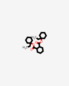 CCC1(OC(=O)C2CCCCC2C(=O)OC2(CC)CCCCC2)CCCCC1